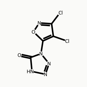 O=c1[nH]nnn1-c1onc(Cl)c1Cl